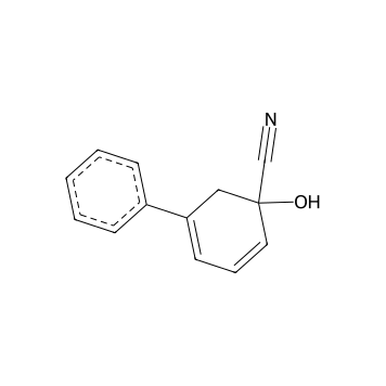 N#CC1(O)C=CC=C(c2ccccc2)C1